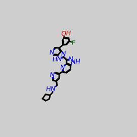 Oc1cc(F)cc(-c2cncc3[nH]c(-c4n[nH]c5ccc(-c6cncc(CNCC7CCCC7)c6)nc45)nc23)c1